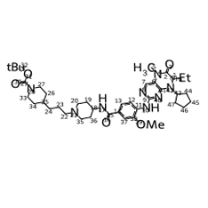 CC[C@@H]1C(=O)N(C)c2cnc(Nc3ccc(C(=O)NC4CCN(CCCC5CCN(C(=O)OC(C)(C)C)CC5)CC4)cc3OC)nc2N1C1CCCC1